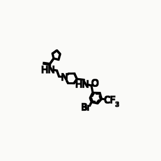 C=C(NCCN1CCC(CNC(=O)c2cc(Br)cc(C(F)(F)F)c2)CC1)C1CCCC1